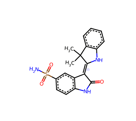 CC1(C)/C(=C2/C(=O)Nc3ccc(S(N)(=O)=O)cc32)Nc2ccccc21